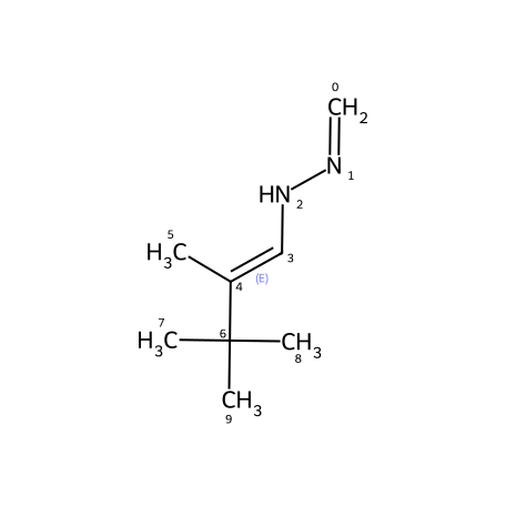 C=NN/C=C(\C)C(C)(C)C